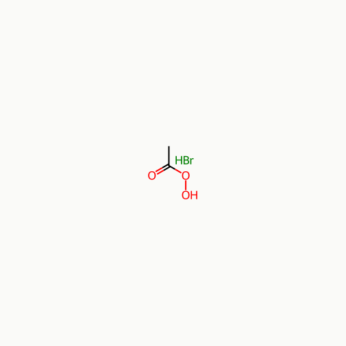 Br.CC(=O)OO